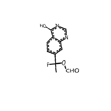 CC(F)(OC=O)c1ccc2c(O)ncnc2c1